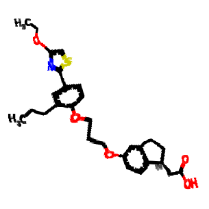 CCCc1cc(-c2nc(OCC)cs2)ccc1OCCCOc1ccc2c(c1)CC[C@H]2CC(=O)O